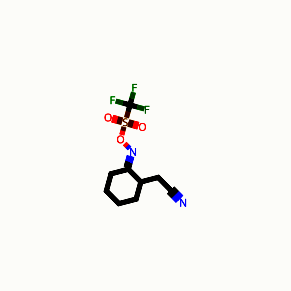 N#CCC1CCCCC1=NOS(=O)(=O)C(F)(F)F